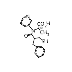 C[C@@H](C(=O)O)N(C(=O)C(CS)Cc1ccccc1)c1cccnc1